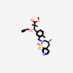 C#CCO[C@@H](c1ccc(C)c(CN2C[C@@H](C)Cc3ccncc3S2(=O)=O)c1)C(C)(C)C(=O)OC